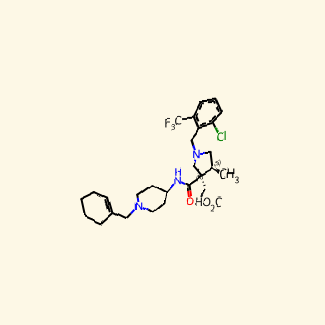 C[C@@H]1CN(Cc2c(Cl)cccc2C(F)(F)F)C[C@]1(CC(=O)O)C(=O)NC1CCN(CC2=CCCCC2)CC1